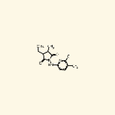 CC(C)COCC1C(=O)N(Nc2ccc(C(F)(F)F)c(Cl)n2)C(=O)C1C